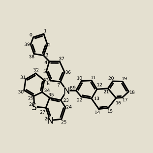 c1ccc(-c2ccc(N(c3ccc4c(ccc5ccccc54)c3)c3ccnc4sc5ccccc5c34)cc2)cc1